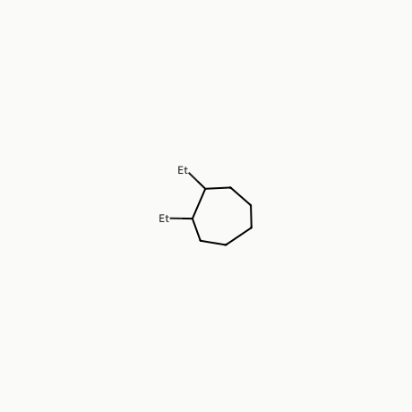 [CH2]CC1CCCCCC1CC